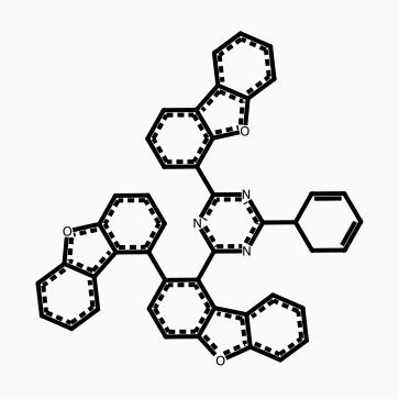 C1=CCC(c2nc(-c3cccc4c3oc3ccccc34)nc(-c3c(-c4cccc5oc6ccccc6c45)ccc4oc5ccccc5c34)n2)C=C1